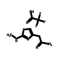 CNc1nc(CC(N)=O)cs1.O=C(O)C(F)(F)F